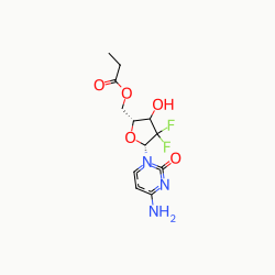 CCC(=O)OC[C@H]1O[C@@H](n2ccc(N)nc2=O)C(F)(F)C1O